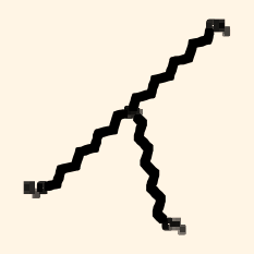 CCCCCCCC[CH2][Sn]([CH2]CCCCCCCC)[CH2]CCCCCCCC